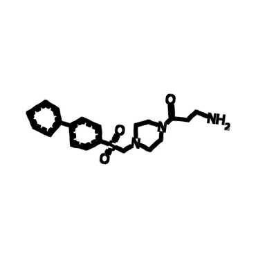 NCCC(=O)N1CCN(CS(=O)(=O)c2ccc(-c3ccccc3)cc2)CC1